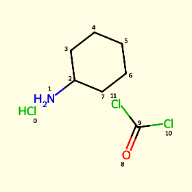 Cl.NC1CCCCC1.O=C(Cl)Cl